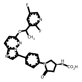 CC(Oc1ccc2ncc(-c3ccc(N4C[C@@H](NC(=O)O)CC4=O)cc3)n2n1)c1cc(F)cnc1F